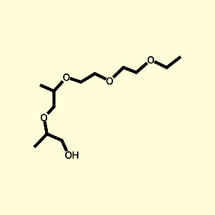 CCOCCOCCOC(C)COC(C)CO